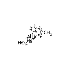 CCC(=Cc1ccccc1)C1CC1NCc1nc(CO)co1